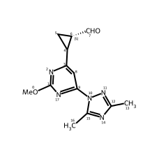 COc1nc(C2C[C@@H]2C=O)cc(-n2nc(C)nc2C)n1